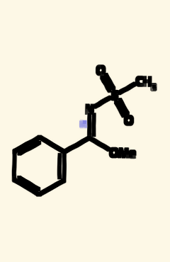 CO/C(=N\S(C)(=O)=O)c1ccccc1